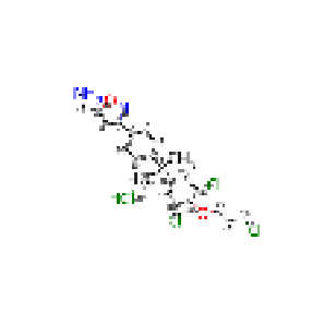 CC(C)(c1ccc(-c2cc(CN)on2)cc1)c1cc(Cl)c(OCCCCl)c(Cl)c1.Cl